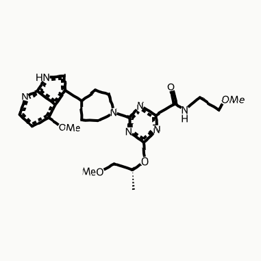 COCCNC(=O)c1nc(O[C@H](C)COC)nc(N2CCC(c3c[nH]c4nccc(OC)c34)CC2)n1